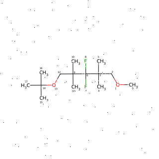 COCC(C)(C)C(F)(F)C(C)(C)COC(C)(C)C